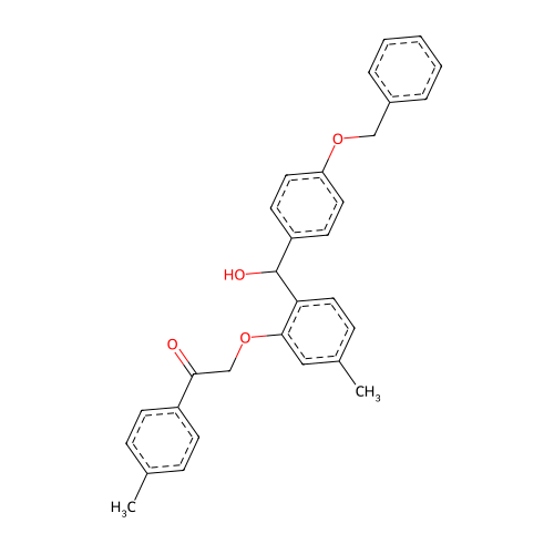 Cc1ccc(C(=O)COc2cc(C)ccc2C(O)c2ccc(OCc3ccccc3)cc2)cc1